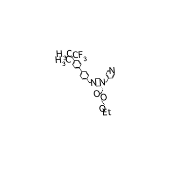 CCOCCOC(=O)C[C@@H]1CN(Cc2ccc(-c3ccc(C(C)(C)C(F)(F)F)cc3)cc2)CCN1Cc1ccncc1